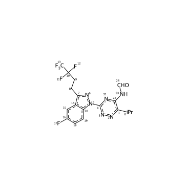 CC(C)c1nnc(-n2nc(CCC(F)(F)C(F)(F)F)c3cc(F)ccc32)nc1NC=O